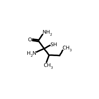 CCC(C)C(N)(S)C(N)=O